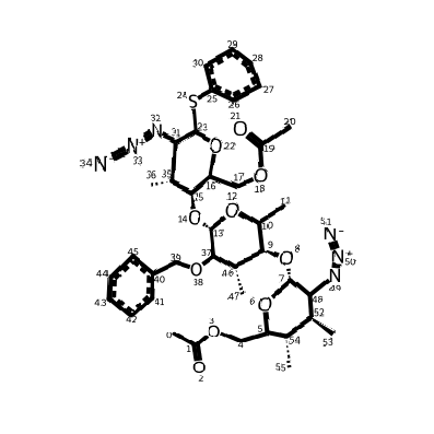 CC(=O)OCC1O[C@H](O[C@@H]2C(C)O[C@@H](O[C@@H]3C(COC(C)=O)OC(Sc4ccccc4)C(N=[N+]=[N-])[C@H]3C)C(OCc3ccccc3)[C@H]2C)C(N=[N+]=[N-])[C@@H](C)[C@@H]1C